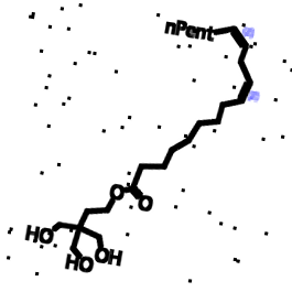 CCCCC/C=C\C/C=C\CCCCCCCC(=O)OCCC(CO)(CO)CO